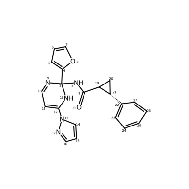 O=C(NC1(c2ccco2)N=CC=C(n2cccn2)N1)C1C[C@@H]1c1ccccc1